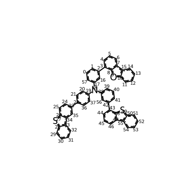 c1cc(-c2cccc3c2oc2ccccc23)cc(N(c2ccc(-c3ccc4sc5ccccc5c4c3)cc2)c2cccc(-c3cccc4c3sc3ccccc34)c2)c1